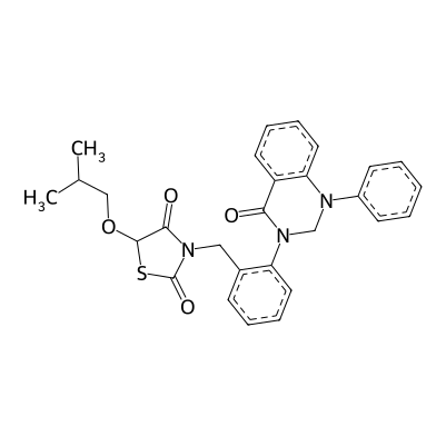 CC(C)COC1SC(=O)N(Cc2ccccc2N2CN(c3ccccc3)c3ccccc3C2=O)C1=O